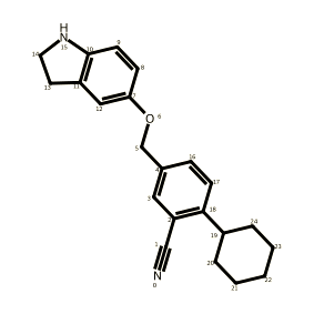 N#Cc1cc(COc2ccc3c(c2)CCN3)ccc1C1CCCCC1